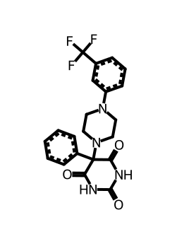 O=C1NC(=O)C(c2ccccc2)(N2CCN(c3cccc(C(F)(F)F)c3)CC2)C(=O)N1